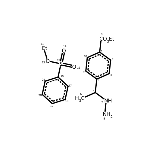 CCOC(=O)c1ccc(C(C)NN)cc1.CCOS(=O)(=O)c1ccccc1